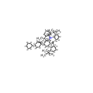 CC(C)(C)c1ccccc1N1c2cc(-c3ccc(-c4ccccc4)cc3)cc3c2B(c2cccc(C(C)(C)C)c2-3)c2cccc(C(C)(C)C)c21